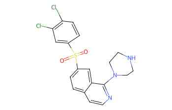 O=S(=O)(c1ccc(Cl)c(Cl)c1)c1ccc2ccnc(N3CCNCC3)c2c1